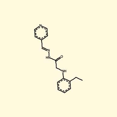 CCc1ccccc1NCC(=O)N/N=C/c1ccncc1